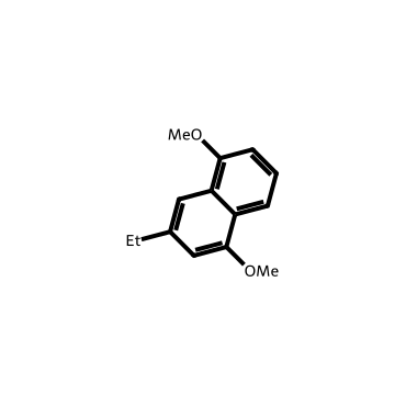 CCc1cc(OC)c2cccc(OC)c2c1